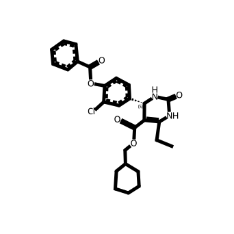 CCC1=C(C(=O)OCC2CCCCC2)[C@H](c2ccc(OC(=O)c3ccccc3)c(Cl)c2)NC(=O)N1